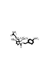 CCCCC1CCN(C(=O)OCc2ccc([N+](=O)[O-])cc2)C1(CSCC(N)=O)O[SiH](C)C